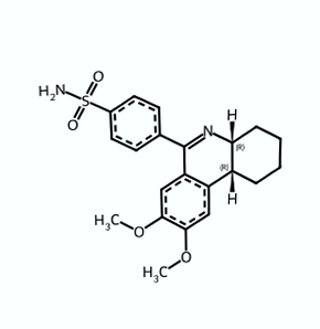 COc1cc2c(cc1OC)[C@H]1CCCC[C@H]1N=C2c1ccc(S(N)(=O)=O)cc1